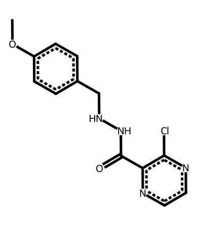 COc1ccc(CNNC(=O)c2nccnc2Cl)cc1